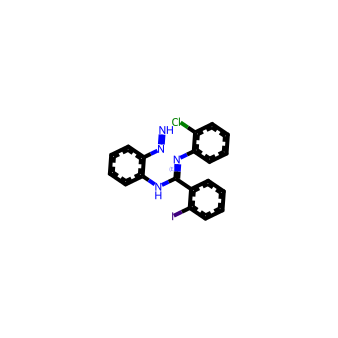 N=Nc1ccccc1N/C(=N/c1ccccc1Cl)c1ccccc1I